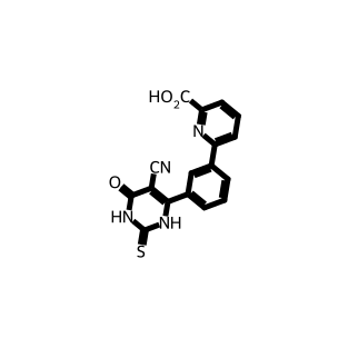 N#Cc1c(-c2cccc(-c3cccc(C(=O)O)n3)c2)[nH]c(=S)[nH]c1=O